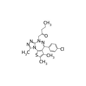 CCCC(=O)CN1N=C(c2ccc(Cl)cc2)c2c(sc(C)c2C)-n2c(C)nnc21